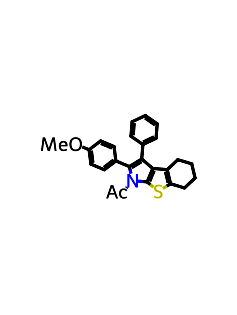 COc1ccc(-c2c(-c3ccccc3)c3c4c(sc3n2C(C)=O)CCCC4)cc1